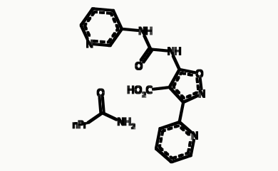 CCCC(N)=O.O=C(Nc1cccnc1)Nc1onc(-c2ccccn2)c1C(=O)O